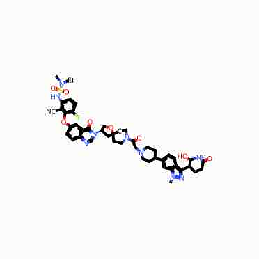 CCN(C)S(=O)(=O)Nc1ccc(F)c(Oc2ccc3ncn([C@H]4COC5(CCN(C(=O)CN6CCC(c7ccc8c(C9CCC(=O)NC9O)nn(C)c8c7)CC6)CC5)C4)c(=O)c3c2)c1C#N